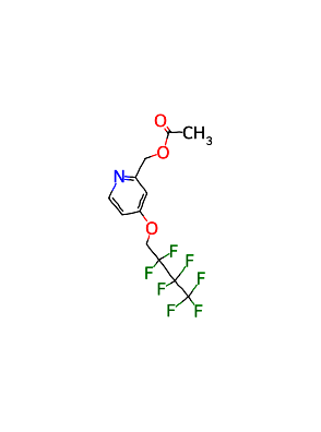 CC(=O)OCc1cc(OCC(F)(F)C(F)(F)C(F)(F)F)ccn1